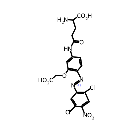 NC(CCC(=O)Nc1ccc(/N=N/c2cc(Cl)c([N+](=O)[O-])cc2Cl)c(OCC(=O)O)c1)C(=O)O